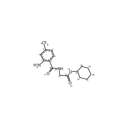 Nc1cc(C(F)(F)F)ccc1C(=O)NCC(=O)OC1CCCCC1